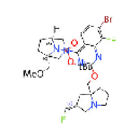 COC[C@@]12CC[C@@H](CN(c3nc(OCC45CCCN4C/C(=C\F)C5)nc4c(F)c(Br)ccc34)C1)N2C(=O)OC(C)(C)C